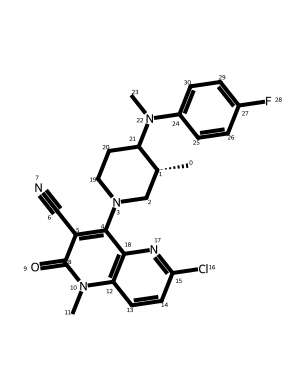 C[C@@H]1CN(c2c(C#N)c(=O)n(C)c3ccc(Cl)nc23)CCC1N(C)c1ccc(F)cc1